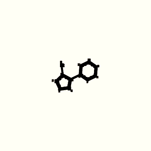 CCc1s[c]nc1-c1ccccc1